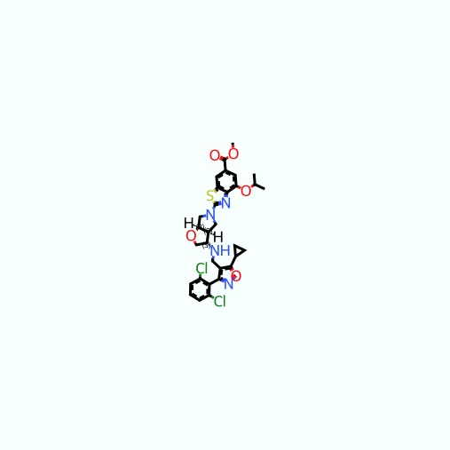 COC(=O)c1cc(OC(C)C)c2nc(N3C[C@@H]4[C@H](C3)OC[C@H]4NCc3c(-c4c(Cl)cccc4Cl)noc3C3CC3)sc2c1